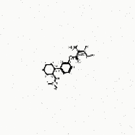 CC[C@H](C)[C@H](N)C(=O)Oc1cccc([C@@H]2CCCCC2CN(C)C)c1